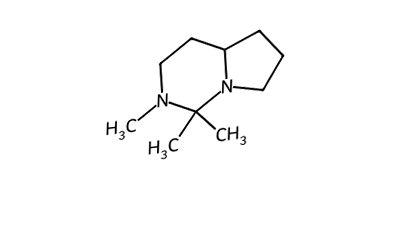 CN1CCC2CCCN2C1(C)C